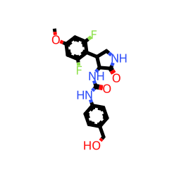 COc1cc(F)c(C2CNC(=O)C2NC(=O)Nc2ccc(CO)cc2)c(F)c1